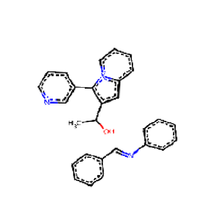 C(=N\c1ccccc1)/c1ccccc1.CC(O)c1cc2ccccn2c1-c1cccnc1